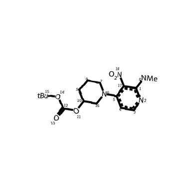 CNc1nccc(N2CCCC(OC(=O)OC(C)(C)C)C2)c1[N+](=O)[O-]